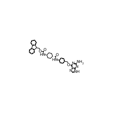 Nc1nc(OCc2ccc(NC(=O)[C@H]3CC[C@H](NC(=O)OCC4c5ccccc5-c5ccccc54)CC3)cc2)c2nc[nH]c2n1